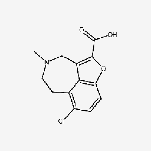 CN1CCc2c(Cl)ccc3oc(C(=O)O)c(c23)C1